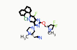 CN1CCN(c2nc(OC[C@@H]3CC(F)(F)CN3C)nc3c(F)c(-c4cccc5cccc(Cl)c45)ncc23)C[C@@H]1CC#N